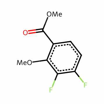 COC(=O)c1ccc(F)c(F)c1OC